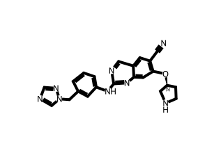 N#Cc1cc2cnc(Nc3cccc(Cn4cncn4)c3)nc2cc1O[C@H]1CCNC1